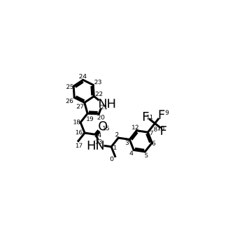 CC(Cc1cccc(C(F)(F)F)c1)NC(=O)C(C)Cc1c[nH]c2ccccc12